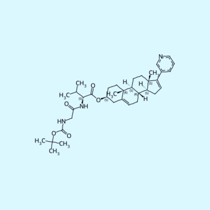 CC(C)[C@H](NC(=O)CNC(=O)OC(C)(C)C)C(=O)O[C@H]1CC[C@@]2(C)C(=CC[C@@H]3[C@@H]2CC[C@]2(C)C(c4cccnc4)=CC[C@@H]32)C1